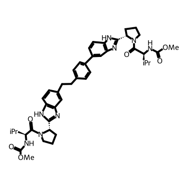 COC(=O)N[C@H](C(=O)N1CCC[C@H]1c1nc2cc(CCc3ccc(-c4ccc5[nH]c([C@@H]6CCCN6C(=O)[C@@H](NC(=O)OC)C(C)C)nc5c4)cc3)ccc2[nH]1)C(C)C